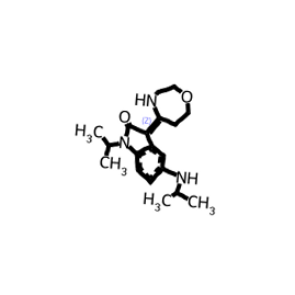 CC(C)Nc1ccc2c(c1)/C(=C1\CCOCCN1)C(=O)N2C(C)C